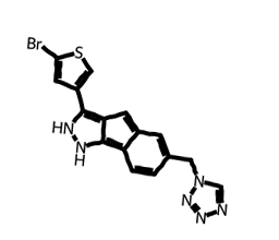 Brc1cc(-c2[nH][nH]c3c4ccc(Cn5cnnn5)cc4cc2-3)cs1